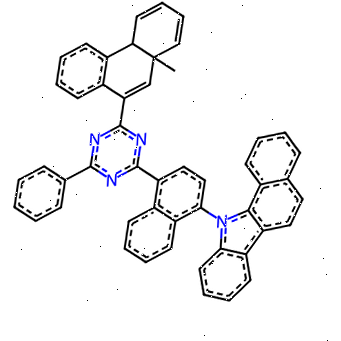 CC12C=CC=CC1c1ccccc1C(c1nc(-c3ccccc3)nc(-c3ccc(-n4c5ccccc5c5ccc6ccccc6c54)c4ccccc34)n1)=C2